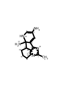 Cc1noc(C2=CC(N)=CNC2(N)C2CCCCC2)n1